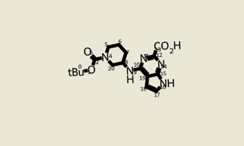 CC(C)(C)OC(=O)N1CCCC(Nc2nc(C(=O)O)nc3[nH]ccc23)C1